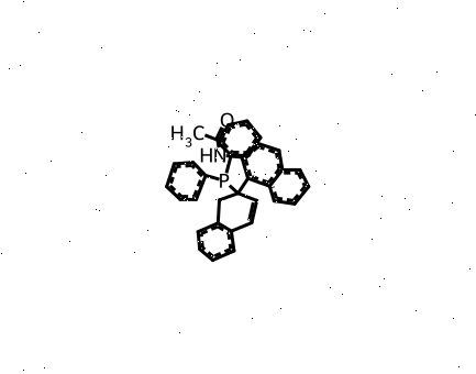 CC(=O)Nc1ccc2ccccc2c1C1(P(c2ccccc2)c2ccccc2)C=Cc2ccccc2C1